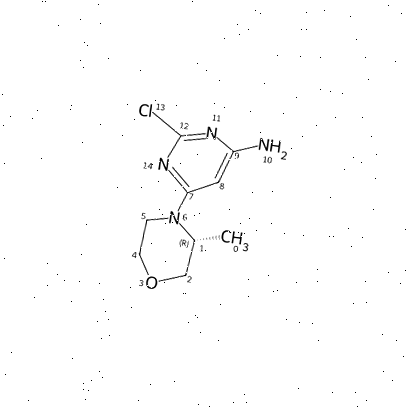 C[C@@H]1COCCN1c1cc(N)nc(Cl)n1